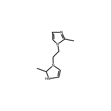 Cc1nccn1CCN1C=CNC1C